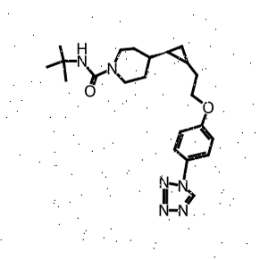 CC(C)(C)NC(=O)N1CCC([C@H]2CC2CCOc2ccc(-n3cnnn3)cc2)CC1